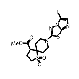 COC(=O)C1CCS(=O)(=O)C12CCN(c1nn3c(I)cnc3s1)CC2